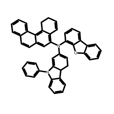 C1=Cc2c(N(C3=CCC4C(=C3)N(c3ccccc3)c3ccccc34)c3cccc4c3oc3ccccc34)cc3ccc4ccccc4c3c2CC1